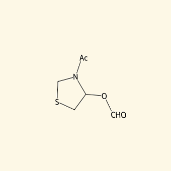 CC(=O)N1CSCC1OC=O